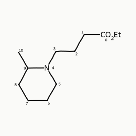 CCOC(=O)CCCN1CCCCC1C